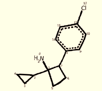 NC1(C2[CH]C2)CCC1c1ccc(Cl)cc1